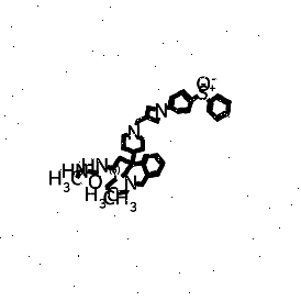 CCC[C@@H](CC1(C2CCN(CC3CN(c4ccc([S+]([O-])c5ccccc5)cc4)C3)CC2)CN(CC)Cc2ccccc21)NC(=O)NC